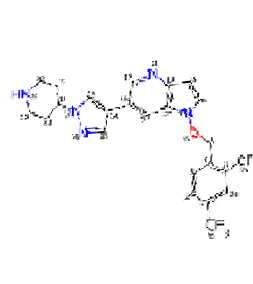 FC(F)(F)c1ccc(COn2ccc3ncc(-c4cnn(C5CCNCC5)c4)cc32)c(C(F)(F)F)c1